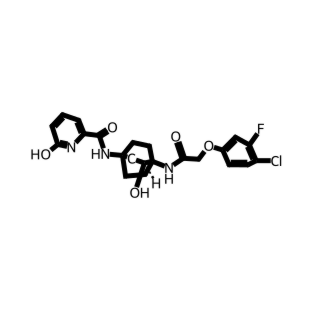 O=C(COc1ccc(Cl)c(F)c1)NC12CCC(NC(=O)c3cccc(O)n3)(CC1)C[C@@H]2O